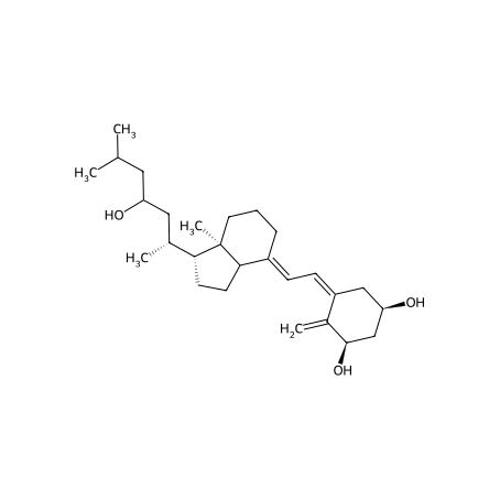 C=C1/C(=C\C=C2CCC[C@@]3(C)C2CC[C@@H]3[C@H](C)CC(O)CC(C)C)C[C@@H](O)C[C@H]1O